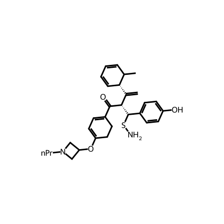 C=C([C@@H](C(=O)C1=CC=C(OC2CN(CCC)C2)CC1)C(SN)c1ccc(O)cc1)[C@@H]1C=CC=CC1C